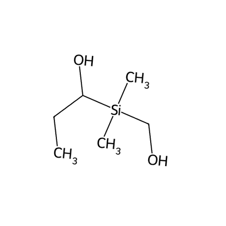 CCC(O)[Si](C)(C)CO